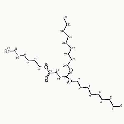 CCCCCCCCCOC(CCC(=O)OCCCCCCBr)OCCCCCCCCC